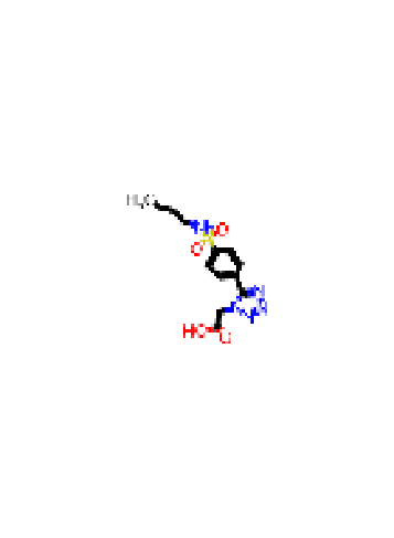 CCCCNS(=O)(=O)c1ccc(-c2nnnn2CC(=O)O)cc1